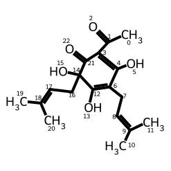 CC(=O)C1=C(O)C(CC=C(C)C)=C(O)C(O)(CC=C(C)C)C1=O